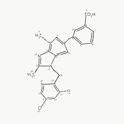 Cc1cc(-c2cccc(C(=O)O)c2)cc2c1nc(C)n2Cc1ncc(Cl)cc1Cl